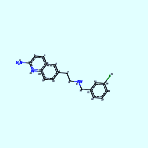 Nc1ccc2cc(CCNCc3cccc(F)c3)ccc2n1